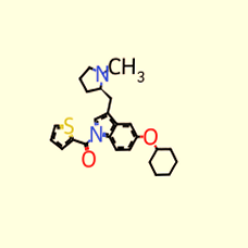 CN1CCC[C@@H]1Cc1cn(C(=O)c2cccs2)c2ccc(OC3CCCCC3)cc12